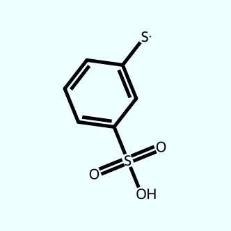 O=S(=O)(O)c1cccc([S])c1